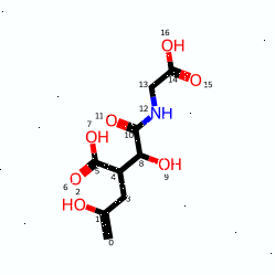 C=C(O)CC(C(=O)O)C(O)C(=O)NCC(=O)O